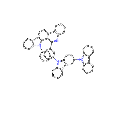 c1ccc(-n2c3ccccc3c3ccc4c5ccccc5nc(-c5cccc(-n6c7ccccc7c7cc(-n8c9ccccc9c9ccccc98)ccc76)c5)c4c32)cc1